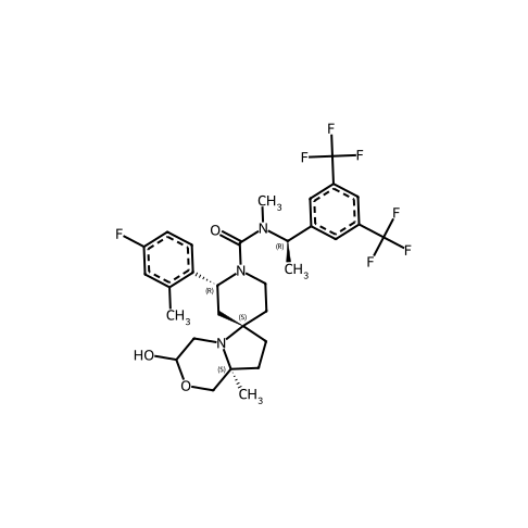 Cc1cc(F)ccc1[C@H]1C[C@@]2(CCN1C(=O)N(C)[C@H](C)c1cc(C(F)(F)F)cc(C(F)(F)F)c1)CC[C@@]1(C)COC(O)CN12